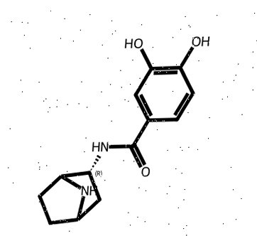 O=C(N[C@@H]1CC2CCC1N2)c1ccc(O)c(O)c1